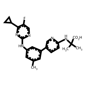 Cc1cc(Nc2ncc(F)c(C3CC3)n2)cc(-c2ccc(NC(C)(C)C(=O)O)nc2)c1